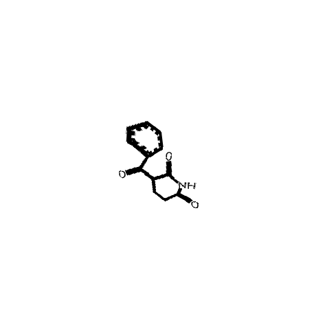 O=C1CCC(C(=O)c2ccccc2)C(=O)N1